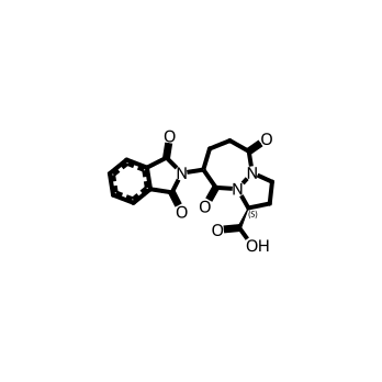 O=C(O)[C@@H]1CCN2C(=O)CCC(N3C(=O)c4ccccc4C3=O)C(=O)N12